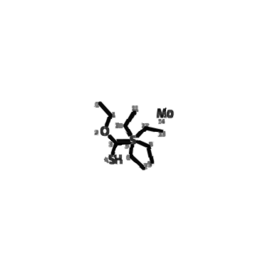 CCOC(S)=S(CC)(CC)(CC)CC.[Mo]